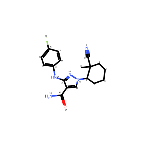 CC1(C#N)CCCCC1n1cc(C(N)=O)c(Nc2ccc(F)cc2)n1